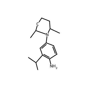 CC(C)c1cc(N2C(C)CCCC2C)ccc1N